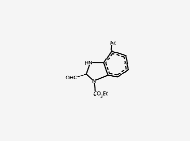 CCOC(=O)N1c2cccc(C(C)=O)c2NC1C=O